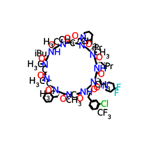 CC[C@H](C)[C@@H]1NC(=O)[C@H](C)N(C)C(=O)C[C@@H](C(=O)N2CCCCC2)N(C)C(=O)[C@H](C(C)C)N(C)C(=O)[C@H](CC(C)C)NC(=O)[C@H](CC(=O)N2CCC(F)(F)CC2)N(C)C(=O)[C@H](CCc2ccc(C(F)(F)F)c(Cl)c2)NC(=O)CN(C)C(=O)[C@H](CC2CCCCC2)N(C)C(=O)CN(C)C(=O)CN(C)C1=O